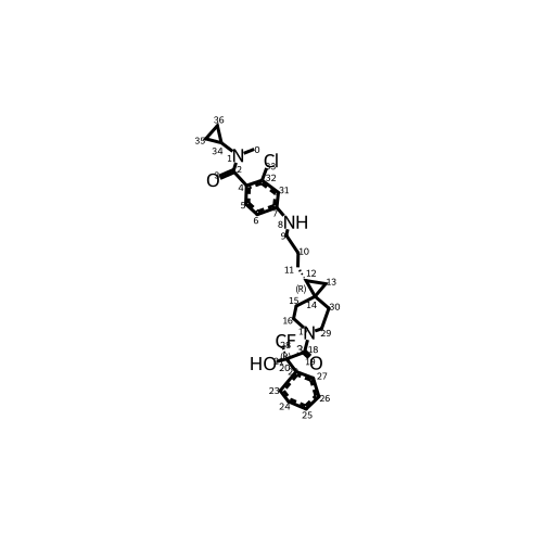 CN(C(=O)c1ccc(NCCC[C@@H]2CC23CCN(C(=O)[C@](O)(c2ccccc2)C(F)(F)F)CC3)cc1Cl)C1CC1